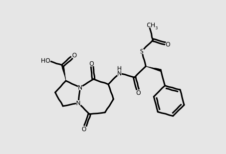 CC(=O)S[C@@H](Cc1ccccc1)C(=O)NC1CCC(=O)N2CC[C@@H](C(=O)O)N2C1=O